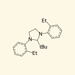 CCc1ccccc1N1CCN(c2ccccc2CC)C1C(C)(C)C